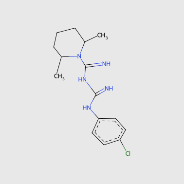 CC1CCCC(C)N1C(=N)NC(=N)Nc1ccc(Cl)cc1